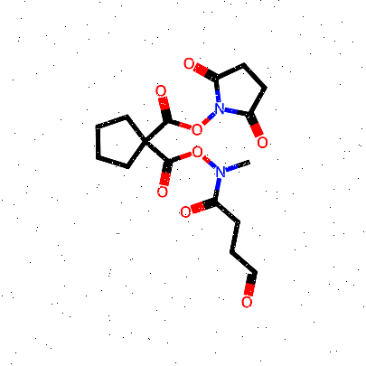 CN(OC(=O)C1(C(=O)ON2C(=O)CCC2=O)CCCC1)C(=O)CCC=O